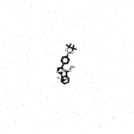 CC(C)(C)OC(=O)N1C2CCC(CC2)[C@H]1c1ncc(-c2ccc(B3OC(C)(C)C(C)(C)O3)cc2)[nH]1